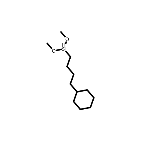 CO[SiH](CCCCC1CCCCC1)OC